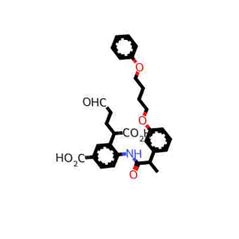 CC(C(=O)Nc1ccc(C(=O)O)cc1C(CCC=O)C(=O)O)c1cccc(OCCCCOc2ccccc2)c1